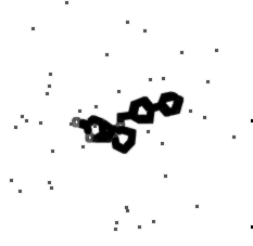 O=C1CC2C(OCc3ccc(-c4ccccc4)cc3)CC(O1)C2N1CCCCC1